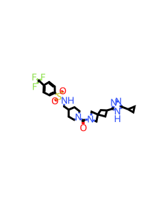 O=C(N1CCC(CNS(=O)(=O)c2ccc(C(F)(F)F)cc2)CC1)N1CC2(CC(c3nnc(C4CC4)[nH]3)C2)C1